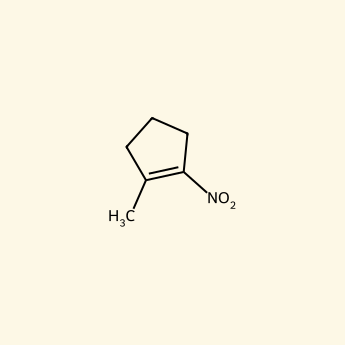 CC1=C([N+](=O)[O-])CCC1